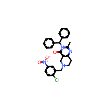 Cc1nc2c(c(=O)n1C(c1ccccc1)c1ccccc1)CN(Cc1cc([N+](=O)[O-])ccc1Cl)CC2